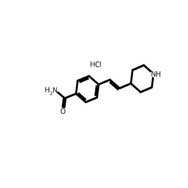 Cl.NC(=O)c1ccc(C=CC2CCNCC2)cc1